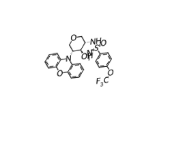 CN=S(=O)(N[C@H]1COC[C@@H](N2c3ccccc3Oc3ccccc32)[C@@H]1O)c1ccc(OC(F)(F)F)cc1